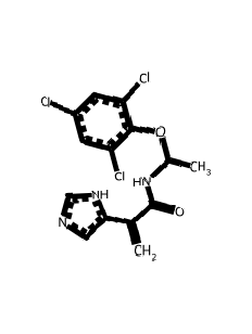 C=C(C(=O)NC(C)Oc1c(Cl)cc(Cl)cc1Cl)c1cnc[nH]1